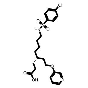 O=C(O)CC[C@H](CCCCNS(=O)(=O)c1ccc(Cl)cc1)CCOc1cccnc1